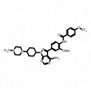 COc1cc(-c2nn(C3CCC(N4CCN(C)CC4)CC3)c3ncnc(N)c23)ccc1NC(=O)c1ccc(OC(F)(F)F)cc1